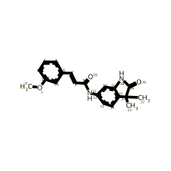 COc1cccc(C=CC(=O)Nc2ccc3c(c2)NC(=O)C3(C)C)c1